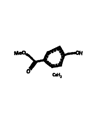 COC(=O)c1ccc(O)cc1.[CaH2]